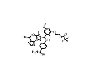 COc1cc(OCCOC(=O)C(F)(F)F)c(F)c(C(Nc2ccc(C(=N)N)cc2)c2nn(-c3ncsc3C(=O)O)c(=O)[nH]2)c1